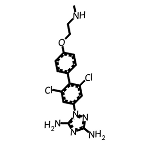 CNCCOc1ccc(-c2c(Cl)cc(-n3nc(N)nc3N)cc2Cl)cc1